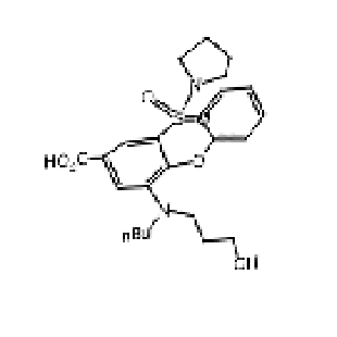 CCCCN(CCCO)c1cc(C(=O)O)cc(S(=O)(=O)N2CCCC2)c1Oc1ccccc1